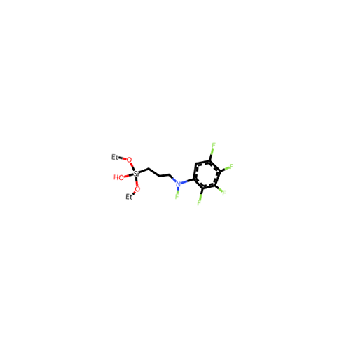 CCO[Si](O)(CCCN(F)c1cc(F)c(F)c(F)c1F)OCC